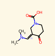 CN(C)/C=C1\CN(C(=O)O)CCC1=O